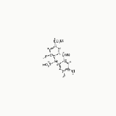 CCOC(=O)c1ccc(N(c2cc(F)c(Cl)cc2OC)S(=O)(=O)O)c(F)c1